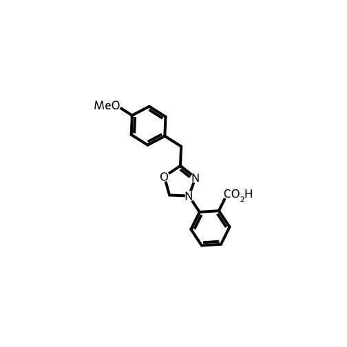 COc1ccc(CC2=NN(c3ccccc3C(=O)O)CO2)cc1